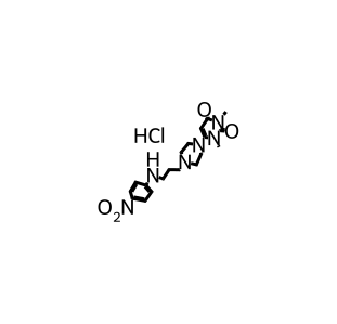 Cl.Cn1c(N2CCN(CCCNc3ccc([N+](=O)[O-])cc3)CC2)cc(=O)n(C)c1=O